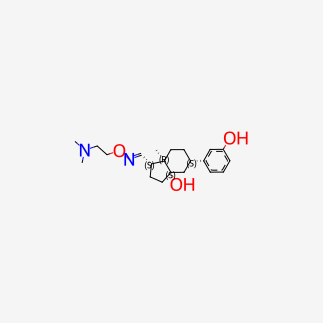 CN(C)CCON=C[C@H]1CC[C@]2(O)C[C@@H](c3cccc(O)c3)CC[C@]12C